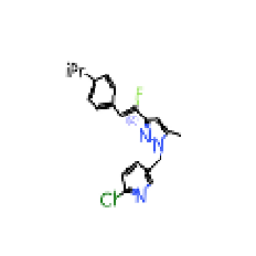 Cc1cc(/C(F)=C/c2ccc(C(C)C)cc2)nn1Cc1ccc(Cl)nc1